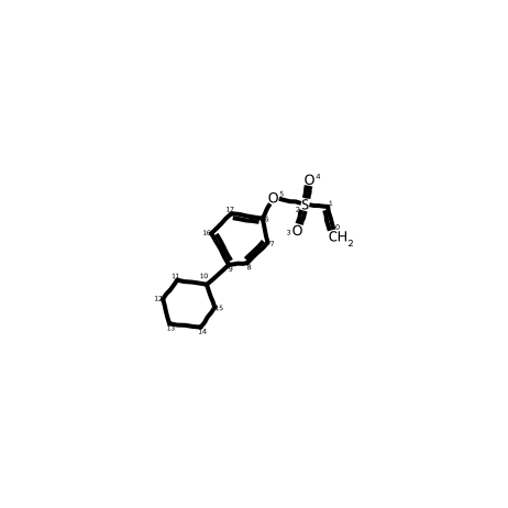 C=CS(=O)(=O)Oc1ccc(C2CCCCC2)cc1